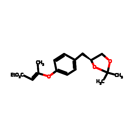 CCOC(=O)/C=C(\C)Oc1ccc(C[C@H]2COC(C)(C)O2)cc1